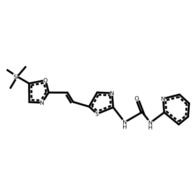 C[Si](C)(C)c1cnc(/C=C/c2cnc(NC(=O)Nc3ccccn3)s2)o1